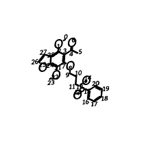 COc1c(C(C)=O)c(OCCCS(=O)(=O)c2ccccc2)c(OC)c2occc12